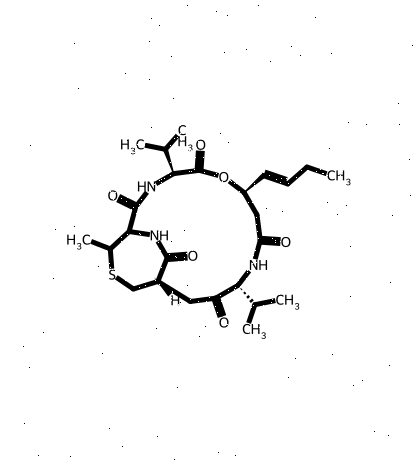 CC/C=C/[C@H]1CC(=O)N[C@H](C(C)C)C(=O)C[C@@H]2CSC(C)C(NC2=O)C(=O)N[C@@H](C(C)C)C(=O)O1